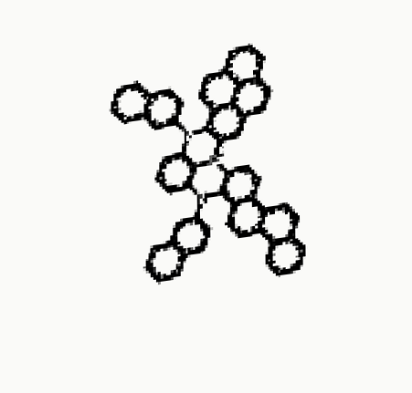 O=P12c3ccc4c(ccc5c6ccccc6ccc45)c3N(c3ccc4ccccc4c3)c3cccc(c31)N(c1ccc3ccccc3c1)c1c2cc2ccc3cccc4ccc1c2c34